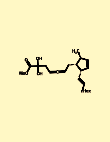 CCCCCCC=C[C@H]1C=C[C@H](C)[C@H]1CC=C=CCC(O)(O)C(=O)OC